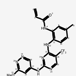 C=CC(=O)Nc1cc(C)ccc1Nc1nc(Nc2cnnc(OC)c2)ncc1C(F)(F)F